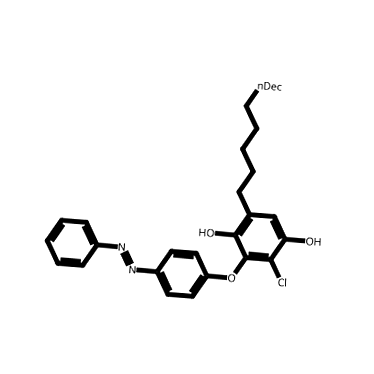 CCCCCCCCCCCCCCCc1cc(O)c(Cl)c(Oc2ccc(N=Nc3ccccc3)cc2)c1O